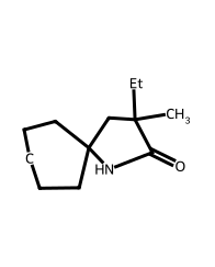 CCC1(C)CC2(CCCCC2)NC1=O